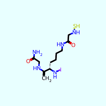 C=C(NCC(N)=O)[C@H](CCCCNC(=O)CNS)NI